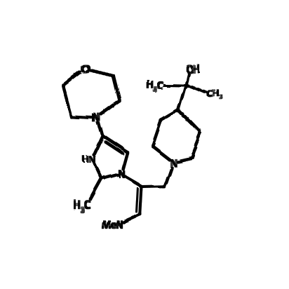 CN/C=C(/CN1CCC(C(C)(C)O)CC1)N1C=C(N2CCOCC2)NC1C